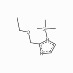 CCOCc1nccn1[Si](C)(C)C